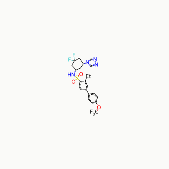 CCc1cc(-c2ccc(OC(F)(F)F)cc2)ccc1S(=O)(=O)N[C@@H]1C[C@H](n2cnnc2)CC(F)(F)C1